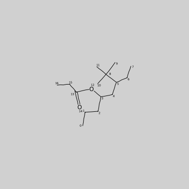 CCCC(CC(CC)C(C)(C)C)OC(=O)CC